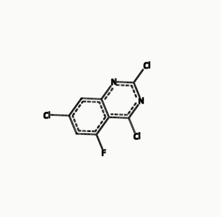 Fc1cc(Cl)cc2nc(Cl)nc(Cl)c12